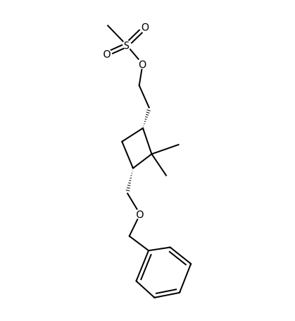 CC1(C)[C@H](COCc2ccccc2)C[C@@H]1CCOS(C)(=O)=O